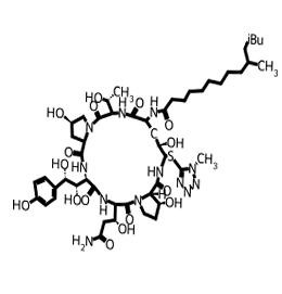 CCC(C)CC(C)CCCCCCCCC(=O)NC1C[C@@H](O)C(Sc2nnnn2C)NC(=O)[C@@H]2[C@@H](O)CCN2C(=O)C([C@H](O)CC(N)=O)NC(=O)[C@H]([C@H](O)[C@@H](O)c2ccc(O)cc2)NC(=O)C2C[C@@H](O)CN2C(=O)C([C@@H](C)O)NC1=O